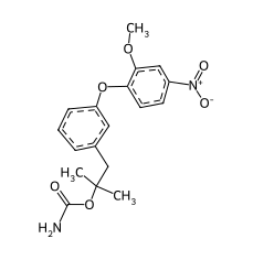 COc1cc([N+](=O)[O-])ccc1Oc1cccc(CC(C)(C)OC(N)=O)c1